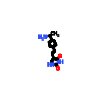 CC(N)c1ccc(/C=C/c2c[nH]c(=O)[nH]c2=O)cc1